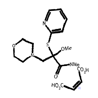 CNC(=O)C(CN1CCOCC1)(OC)Sc1ccccn1.O=C(O)/C=C\C(=O)O